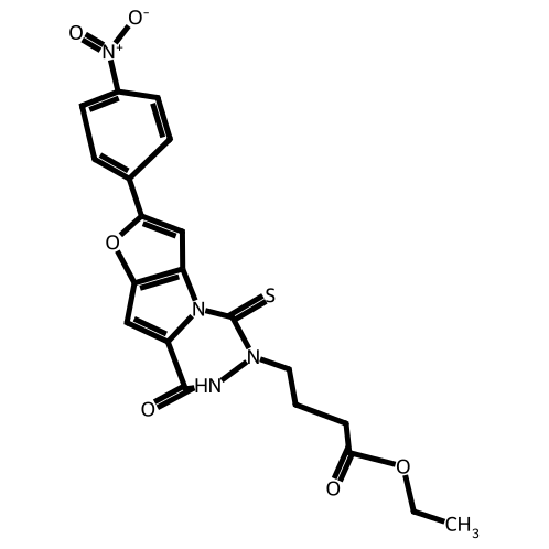 CCOC(=O)CCCn1[nH]c(=O)c2cc3oc(-c4ccc([N+](=O)[O-])cc4)cc3n2c1=S